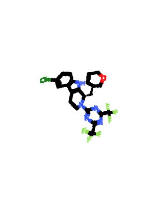 FC(F)(F)c1nc(N2CCc3c([nH]c4ccc(Cl)cc34)[C@@H]2C[C@H]2C=CCOC2)nc(C(F)(F)F)n1